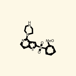 COc1ccccc1S(=O)(=O)c1cc2c(N3CCNCC3)nccc2s1